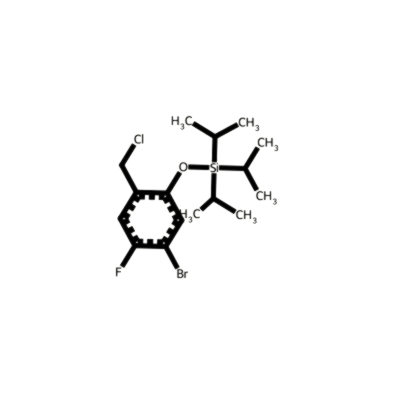 CC(C)[Si](Oc1cc(Br)c(F)cc1CCl)(C(C)C)C(C)C